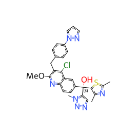 COc1nc2ccc([C@@](O)(c3sc(C)nc3C)c3cnnn3C)cc2c(Cl)c1Cc1ccc(-n2cccn2)cc1